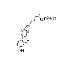 CCCCCOC(C)CCC/C=C/c1ncc(-c2ccc(O)cc2F)cn1